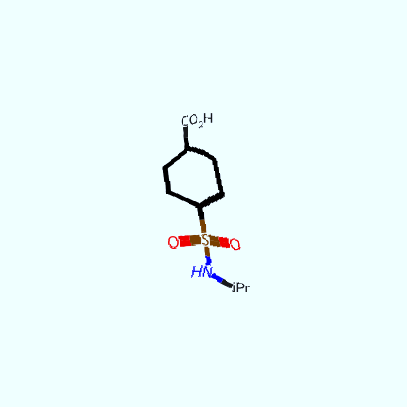 CC(C)NS(=O)(=O)C1CCC(C(=O)O)CC1